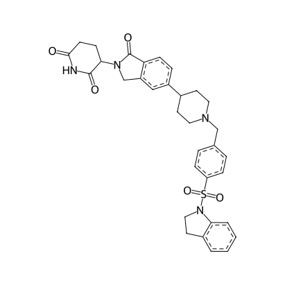 O=C1CCC(N2Cc3cc(C4CCN(Cc5ccc(S(=O)(=O)N6CCc7ccccc76)cc5)CC4)ccc3C2=O)C(=O)N1